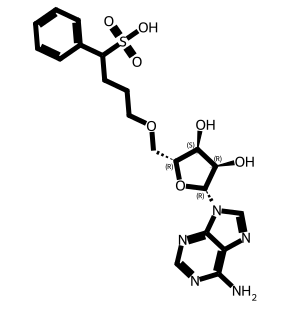 Nc1ncnc2c1ncn2[C@@H]1O[C@H](COCCCC(c2ccccc2)S(=O)(=O)O)[C@@H](O)[C@H]1O